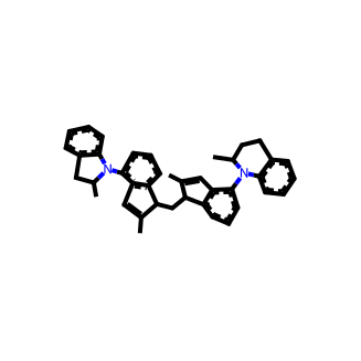 CC1=Cc2c(cccc2N2c3ccccc3CCC2C)C1CC1C(C)=Cc2c1cccc2N1c2ccccc2CC1C